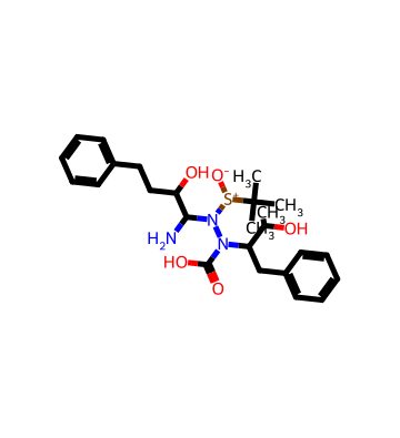 CC(O)C(Cc1ccccc1)N(C(=O)O)N(C(N)C(O)CCc1ccccc1)[S+]([O-])C(C)(C)C